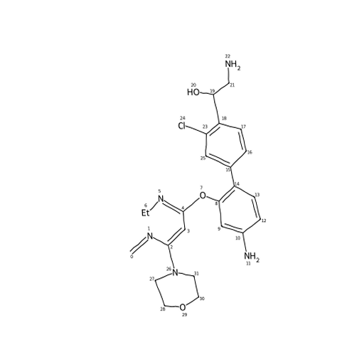 C=N/C(=C\C(=N/CC)Oc1cc(N)ccc1-c1ccc(C(O)CN)c(Cl)c1)N1CCOCC1